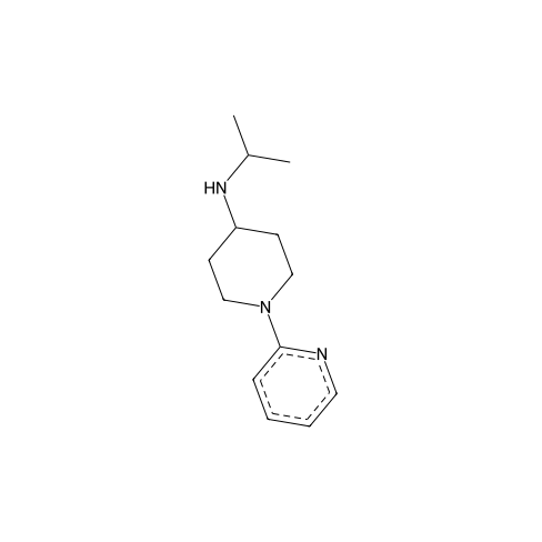 CC(C)NC1CCN(c2ccccn2)CC1